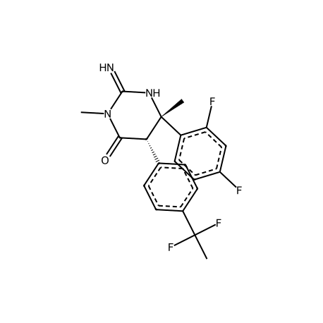 CN1C(=N)N[C@](C)(c2ccc(F)cc2F)[C@H](c2ccc(C(C)(F)F)cc2)C1=O